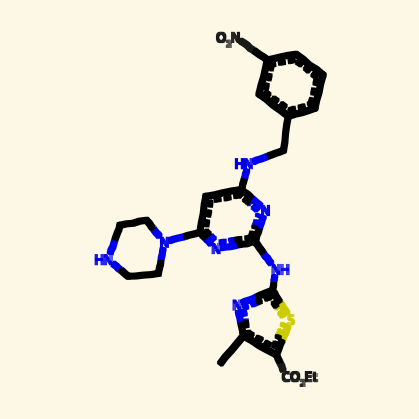 CCOC(=O)c1sc(Nc2nc(NCc3cccc([N+](=O)[O-])c3)cc(N3CCNCC3)n2)nc1C